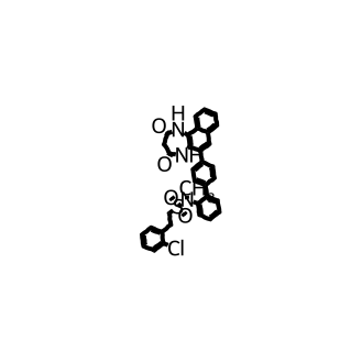 CN(c1ccccc1-c1ccc(-c2cc3ccccc3c3c2NC(=O)CC(=O)N3)cc1)S(=O)(=O)CCc1ccccc1Cl